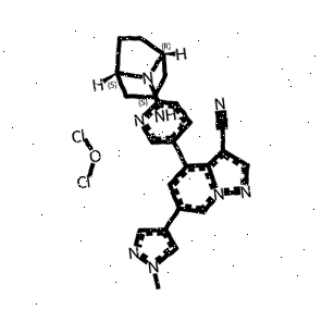 ClOCl.Cn1cc(-c2cc(-c3ccc(N4[C@@H]5CC[C@H]4C[C@H](N)C5)nc3)c3c(C#N)cnn3c2)cn1